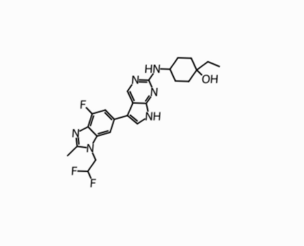 CCC1(O)CCC(Nc2ncc3c(-c4cc(F)c5nc(C)n(CC(F)F)c5c4)c[nH]c3n2)CC1